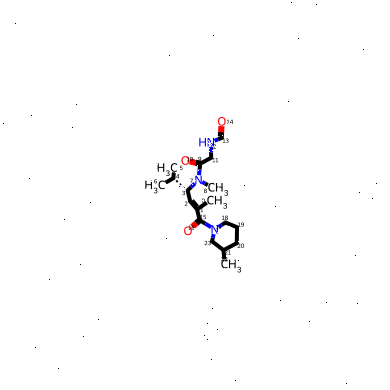 C/C(=C\[C@H](C(C)C)N(C)C(=O)CNC=O)C(=O)N1CCCC(C)C1